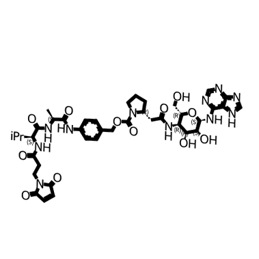 CC(C)[C@H](NC(=O)CCN1C(=O)C=CC1=O)C(=O)N[C@@H](C)C(=O)Nc1ccc(COC(=O)N2CCC[C@@H]2CC(=O)N[C@@H]2[C@@H](O)[C@H](O)[C@@H](Nc3ncnc4nc[nH]c34)O[C@H]2CO)cc1